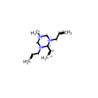 C=CCN1CN(C)CN(CC=C)C1C=C